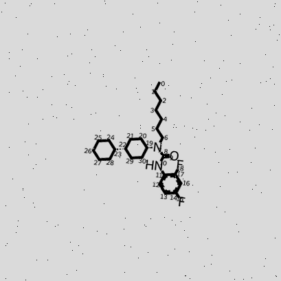 CCCCCCCN(C(=O)Nc1ccc(F)cc1F)[C@H]1CC[C@@H](C2CCCCC2)CC1